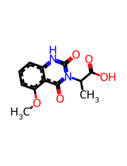 COc1cccc2[nH]c(=O)n(C(C)C(=O)O)c(=O)c12